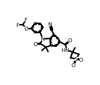 CC1(NC(=O)c2cc(C#N)c3c(c2)C(C)(C)C(=O)N3c2cccc(OC(F)F)c2)CS(=O)(=O)C1